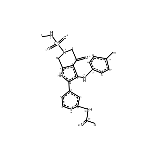 CNS(=O)(=O)N1CC(=O)c2c([nH]c(-c3ccnc(NC(C)=O)c3)c2Nc2ccc(C)cc2)C1